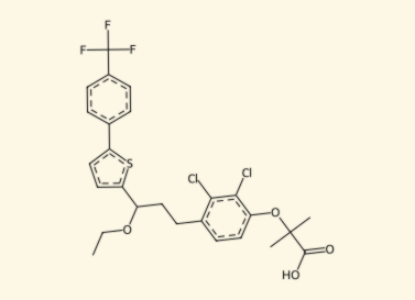 CCOC(CCc1ccc(OC(C)(C)C(=O)O)c(Cl)c1Cl)c1ccc(-c2ccc(C(F)(F)F)cc2)s1